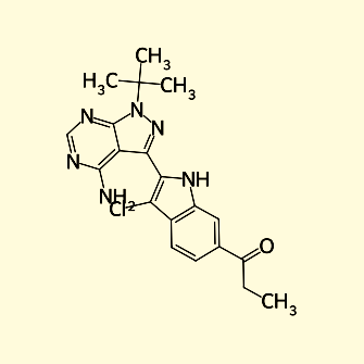 CCC(=O)c1ccc2c(Cl)c(-c3nn(C(C)(C)C)c4ncnc(N)c34)[nH]c2c1